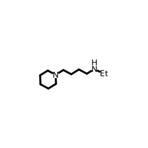 CCNCCCCN1CCCCC1